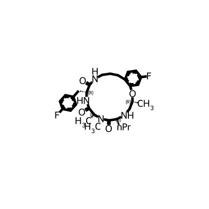 CCC[C@@H]1NC[C@@H](C)Oc2cc(F)ccc2CCCNC(=O)[C@@H](Cc2ccc(F)cc2)NC(=O)[C@@H](C)N(C)C1=O